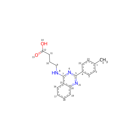 Cc1ccc(-c2nc(NCCCC(=O)O)c3ccccc3n2)cc1